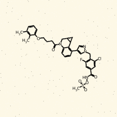 Cc1cccc(OCCCC(=O)N2CC3CC3c3c(-c4cnn(Cc5c(F)cc(C(=O)NOS(C)(=O)=O)cc5Cl)c4)cccc32)c1C